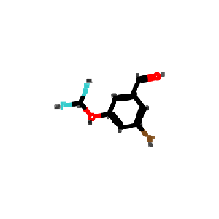 O=Cc1cc(Br)cc(OC(F)F)c1